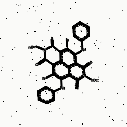 C=c1c2c(Nc3ccccc3)c(Br)c3c4c(c(Br)c(Nc5ccccc5)c(c(=O)n1CCCCCCCC)c42)C(=O)N(CCCCCCCC)C3=O